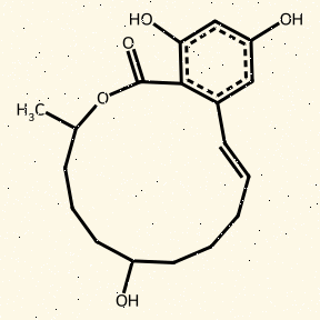 CC1CCCC(O)CCC/C=C/c2cc(O)cc(O)c2C(=O)O1